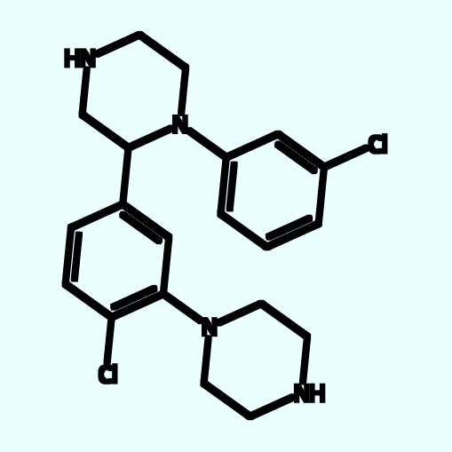 Clc1cccc(N2CCNCC2c2ccc(Cl)c(N3CCNCC3)c2)c1